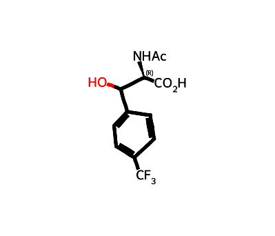 CC(=O)N[C@@H](C(=O)O)C(O)c1ccc(C(F)(F)F)cc1